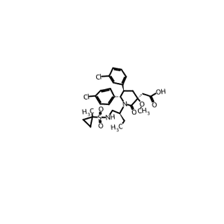 CC[C@@H](CNS(=O)(=O)C1(C)CC1)N1C(=O)[C@](CC(=O)O)(OC)C[C@H](c2cccc(Cl)c2)[C@H]1c1ccc(Cl)cc1